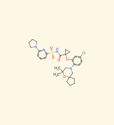 CC1(C)CN(c2ccc(Cl)cc2OC2(C(=O)NS(=O)(=O)c3cccc(N4CCCC4)n3)CC2)CC2(CCCC2)O1